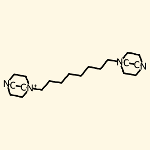 C(CCCC[N+]12CCN(CC1)CC2)CCC[N+]12CCN(CC1)CC2